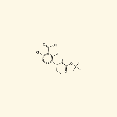 CC[C@@H](NC(=O)OC(C)(C)C)c1ccc(Cl)c(C(=O)O)c1F